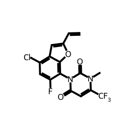 C=Cc1cc2c(Cl)cc(F)c(-n3c(=O)cc(C(F)(F)F)n(C)c3=O)c2o1